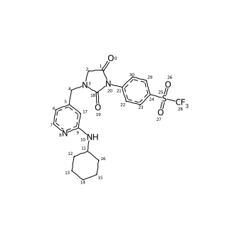 O=C1CN(Cc2ccnc(NC3CCCCC3)c2)C(=O)N1c1ccc(S(=O)(=O)C(F)(F)F)cc1